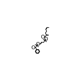 C=C(CC/C=C\C)C(=O)OC(C)(C)C/C=C/OC(C)(C)C(=O)c1ccccc1